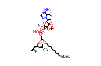 C=C(F)/C=C(\C=C(/C)C#N)CO[C@](C)(COCCCCCCCCCCCCCCCCCC)COP(=O)(O)OC[C@@]1(C#N)O[C@@H](C(=C)N2N=CN=C(N)/C2=C/C)[C@@H]2OC(C)(C)O[C@@H]21